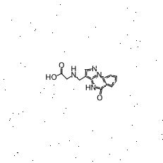 O=C(O)CNCc1cnn2c1[nH]c(=O)c1ccccc12